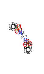 O=S(=O)(O/N=C/C/C=N/OS(=O)(=O)c1ccccc1)c1ccccc1